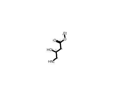 CCOC(=O)CC(O)C[NH]